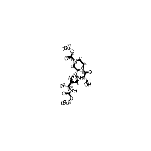 CC(C)[C@H](NC(=O)OC(C)(C)C)c1cn([C@@H](CO)C(=O)N2CCN(C(=O)OC(C)(C)C)CC2)nn1